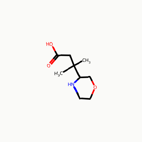 CC(C)(CC(=O)O)C1COCCN1